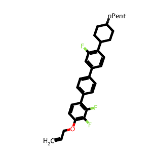 C=CCOc1ccc(-c2ccc(-c3ccc(C4CCC(CCCCC)CC4)c(F)c3)cc2)c(F)c1F